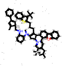 CC1=CC(c2ccccc2)=C[C@@]1(C)CNc1ccccc1N(C)C1=C(CCCc2sc3ccccc3c2C(C)(C)C)C2c3ccc4c(oc5ccccc54)c3-c3cc(CC(C)C)c([Si](C)(C)C)c[n+]3C2C1